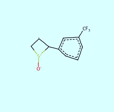 [O-][S+]1C[CH]C1c1cccc(C(F)(F)F)c1